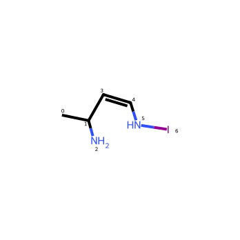 CC(N)/C=C\NI